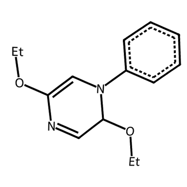 CCOC1=CN(c2ccccc2)C(OCC)C=N1